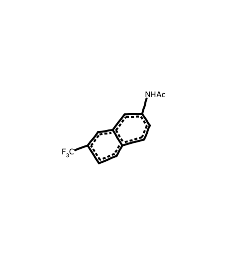 CC(=O)Nc1ccc2ccc(C(F)(F)F)cc2c1